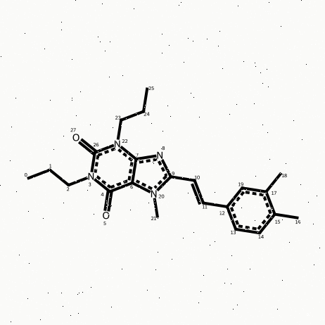 CCCn1c(=O)c2c(nc(C=Cc3ccc(C)c(C)c3)n2C)n(CCC)c1=O